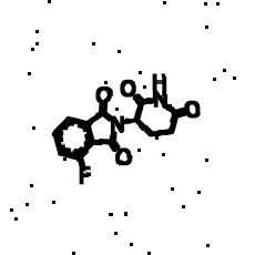 O=C1CC[C@@H](N2C(=O)c3cccc(F)c3C2=O)C(=O)N1